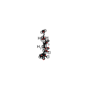 CN(CCN(C)C(=O)Oc1cc2c(c3ccccc13)C(CCl)CN2C(=O)CCC1(C(=O)N2CC(CCl)c3c2cc(OP(=O)(O)O)c2ccccc32)CCC1)C(=O)OCc1ccccc1SSCC(NC(=O)CCCCCN1C(=O)C=CC1=O)C(=O)O